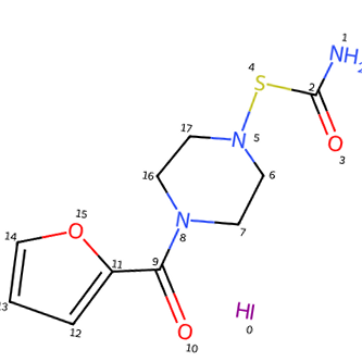 I.NC(=O)SN1CCN(C(=O)c2ccco2)CC1